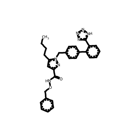 CCCCc1cc(C(=O)NOCc2ccccc2)nn1Cc1ccc(-c2ccccc2-c2nnn[nH]2)cc1